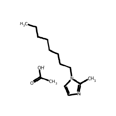 CC(=O)O.CCCCCCCCn1ccnc1C